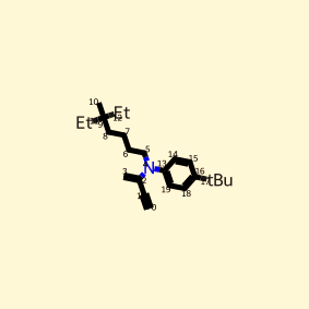 C#CC(=C)N(CCCCC(C)(CC)CC)c1ccc(C(C)(C)C)cc1